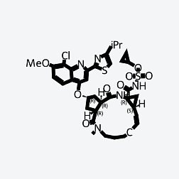 COc1ccc2c(O[C@@H]3C[C@H]4C(=O)N[C@]5(C(=O)NS(=O)(=O)OC6CC6)C[C@H]5C=CCCCCN(C)C(=O)[C@@H]4C3)cc(-c3nc(C(C)C)cs3)nc2c1Cl